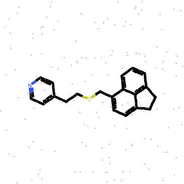 c1cc2c3c(ccc(CSCCc4ccncc4)c3c1)CC2